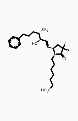 O=C(O)CCCCCCN1C(=O)C(F)(F)C[C@@H]1C=C[C@@H](O)[C@H](CCCc1ccccc1)C(F)(F)F